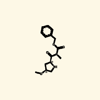 CO[C@@H]1CN[C@H](C(=O)N(C)C(=O)OCc2ccccc2)C1